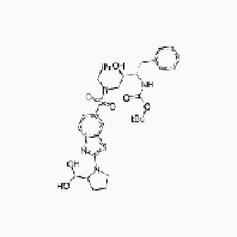 CC(C)CN(C[C@@H](O)[C@H](Cc1ccccc1)NC(=O)OC(C)(C)C)S(=O)(=O)c1ccc2nc(N3CCCC3C(O)O)sc2c1